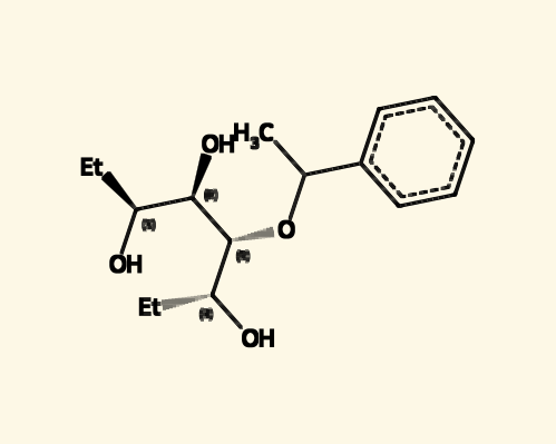 CC[C@@H](O)[C@@H](OC(C)c1ccccc1)[C@H](O)[C@@H](O)CC